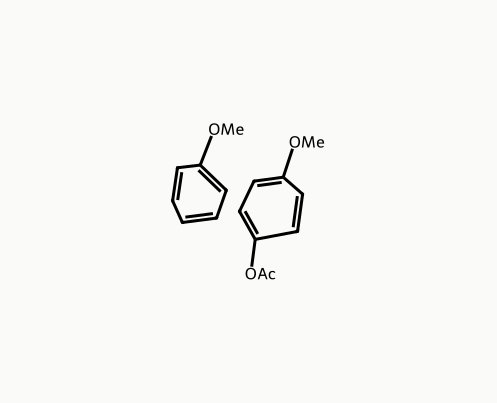 COc1ccc(OC(C)=O)cc1.COc1ccccc1